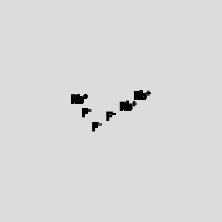 [F-].[F-].[F-].[Rb+].[Rb+].[Rb+]